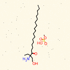 CCCCCCCCCCCCCCCCCC(=O)C(N)(CC)CCO.COS(=O)(=O)O